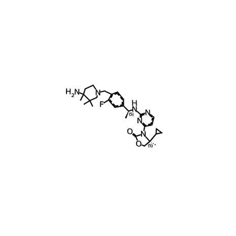 C[C@H](Nc1nccc(N2C(=O)OC[C@]2(C)C2CC2)n1)c1ccc(CN2CCC(C)(N)C(C)(C)C2)c(F)c1